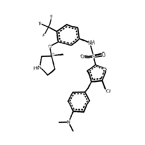 CN(C)c1ccc(-c2cc(S(=O)(=O)Nc3ccc(C(F)(F)F)c(O[C@]4(C)CCNC4)c3)sc2Cl)cc1